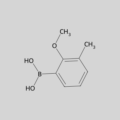 COc1c(C)cccc1B(O)O